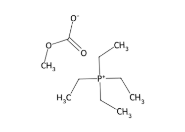 CC[P+](CC)(CC)CC.COC(=O)[O-]